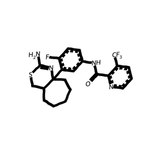 NC1=NC2(c3cc(NC(=O)c4ncccc4C(F)(F)F)ccc3F)CCCCCC2CS1